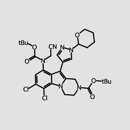 CC(C)(C)OC(=O)N1CCn2c(c(-c3cnn(C4CCCCO4)c3)c3c(N(CC#N)C(=O)OC(C)(C)C)cc(Cl)c(Cl)c32)C1